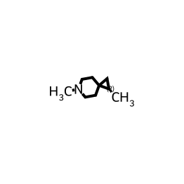 C[C@@H]1CC12CCN(C)CC2